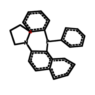 c1ccc(P(c2ccccc2)c2c(N3CCCC3)ccc3ccccc23)cc1